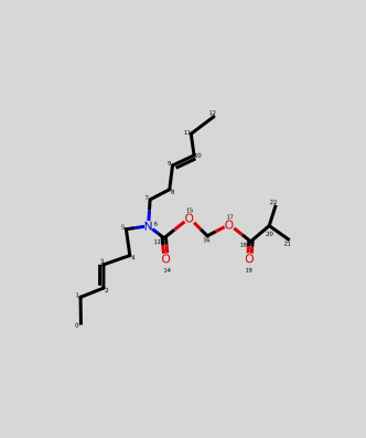 CCC=CCCN(CCC=CCC)C(=O)OCOC(=O)C(C)C